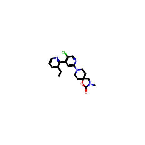 CCc1cccnc1-c1cc(N2CCC3(CC2)CN(C)C(=O)O3)ncc1Cl